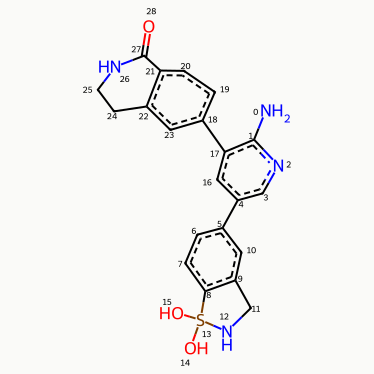 Nc1ncc(-c2ccc3c(c2)CNS3(O)O)cc1-c1ccc2c(c1)CCNC2=O